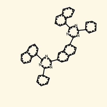 c1ccc(-c2nc(-c3ccc4ccc(-c5nc(-c6ccccc6)nc(-c6cccc7ccccc67)n5)cc4c3)nc(-c3cccc4ccccc34)n2)cc1